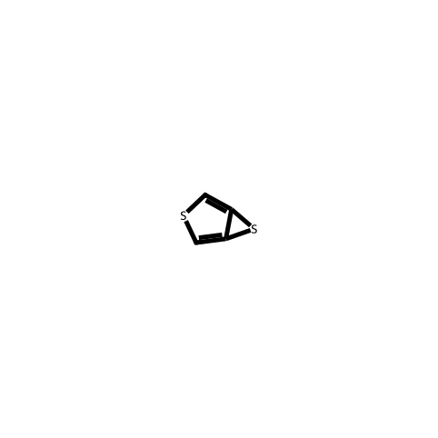 c1scc2c1S2